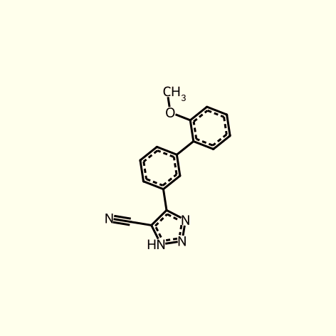 COc1ccccc1-c1cccc(-c2nn[nH]c2C#N)c1